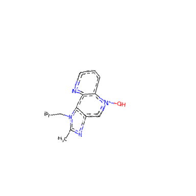 Cc1nc2c[n+](O)c3cccnc3c2n1CC(C)C